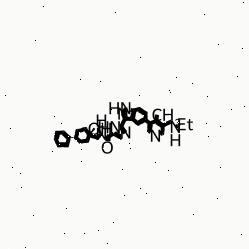 CCNCc1cncc(-c2ccc3[nH]nc(-c4ncc(C(=O)NC[C@]5(O)CC[C@H](c6ccccc6)CC5)[nH]4)c3c2)c1C